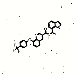 CC(NC(=O)c1cnc2c(Oc3ccc(C(F)(F)F)cc3)cccc2c1)c1cccc2ccsc12